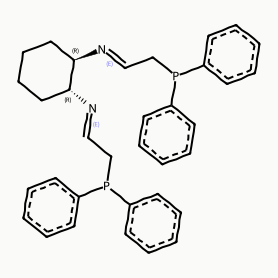 C(/CP(c1ccccc1)c1ccccc1)=N\[C@@H]1CCCC[C@H]1/N=C/CP(c1ccccc1)c1ccccc1